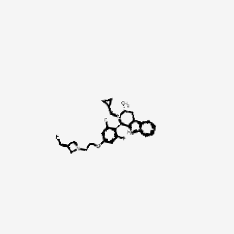 C[C@@H]1Cc2c([nH]c3ccccc23)[C@@H](c2c(F)cc(OCCN3CC(CF)C3)cc2F)N1CC1CC1